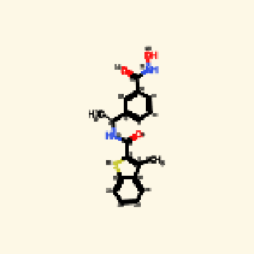 Cc1c(C(=O)N[C@H](C)c2cccc(C(=O)NO)c2)sc2ccccc12